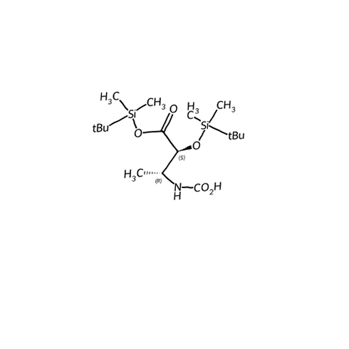 C[C@@H](NC(=O)O)[C@H](O[Si](C)(C)C(C)(C)C)C(=O)O[Si](C)(C)C(C)(C)C